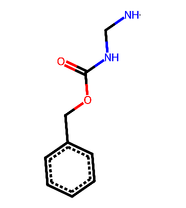 [NH]CNC(=O)OCc1ccccc1